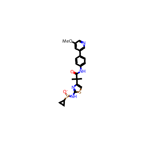 COc1cncc(-c2ccc(NC(=O)C(C)(C)c3csc(N[S+]([O-])C4CC4)n3)cc2)c1